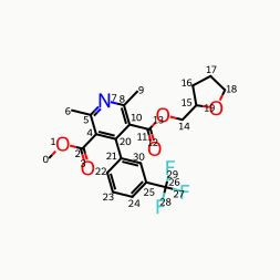 COC(=O)c1c(C)nc(C)c(C(=O)OCC2CCCO2)c1-c1cccc(C(F)(F)F)c1